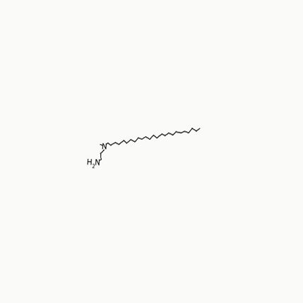 CCCCCCCCCCCCCCCCCCCCCCCCCN(C)CCCN